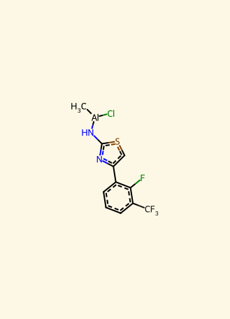 [CH3][Al]([Cl])[NH]c1nc(-c2cccc(C(F)(F)F)c2F)cs1